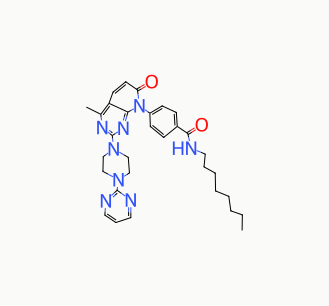 CCCCCCCCNC(=O)c1ccc(-n2c(=O)ccc3c(C)nc(N4CCN(c5ncccn5)CC4)nc32)cc1